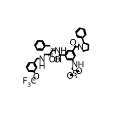 CS(=O)(=O)CNc1cc(C(=O)N[C@@H](Cc2ccccc2)[C@H](O)CNCc2cccc(OC(F)(F)F)c2)cc(C(=O)N2CCCC2c2ccccc2)c1